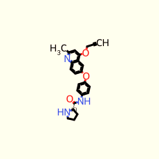 C#CCOc1cc(C)nc2ccc(Oc3ccc(NC(=O)[C@@H]4CCCN4)cc3)cc12